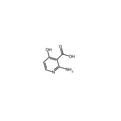 Nc1nccc(O)c1C(=O)O